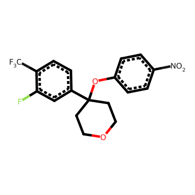 O=[N+]([O-])c1ccc(OC2(c3ccc(C(F)(F)F)c(F)c3)CCOCC2)cc1